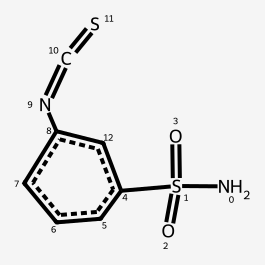 NS(=O)(=O)c1cccc(N=C=S)c1